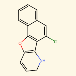 Clc1cc2ccccc2c2oc3c(c12)NCC=C3